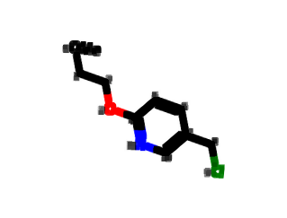 COCCOc1ccc(CCl)cn1